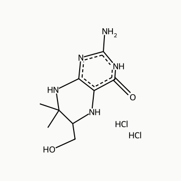 CC1(C)Nc2nc(N)[nH]c(=O)c2NC1CO.Cl.Cl